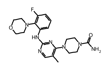 Cc1cnc(Nc2cccc(F)c2N2CCOCC2)nc1N1CCN(C(N)=O)CC1